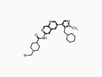 CC(C)CN1CCC(C(=O)Nc2cc3cc(-c4cnn(C)c4CN4CCCCC4)cnc3cn2)CC1